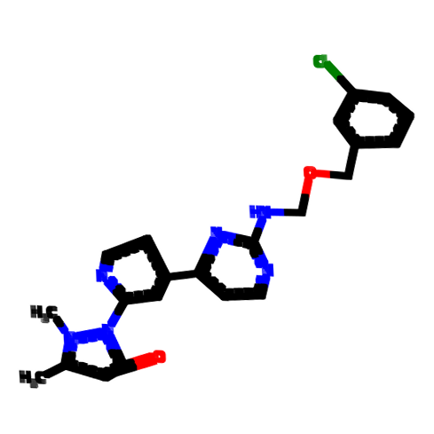 Cc1cc(=O)n(-c2cc(-c3ccnc(NCOCc4cccc(Cl)c4)n3)ccn2)n1C